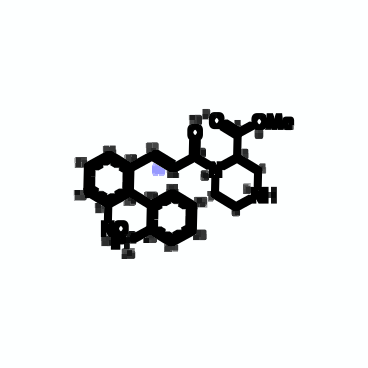 COC(=O)C1CNCCN1C(=O)/C=C/c1cc[c]c([N+](=O)[O-])c1-c1ccccc1C(C)C